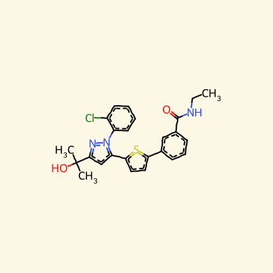 CCNC(=O)c1cccc(-c2ccc(-c3cc(C(C)(C)O)nn3-c3ccccc3Cl)s2)c1